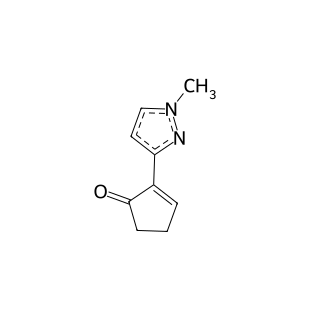 Cn1ccc(C2=CCCC2=O)n1